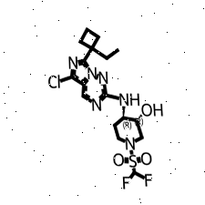 CCC1(c2nc(Cl)c3cnc(N[C@@H]4CCN(S(=O)(=O)C(F)F)C[C@H]4O)nn23)CCC1